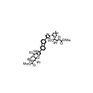 CC[C@@H](c1ncc(-c2ccc3c(c2)-c2ccc(-c4cnc([C@@H]5CC(C)(C)CN5C(=O)[C@@H](NC(=O)OC)C(C)C)[nH]4)cc2-3)[nH]1)N(CC(C)C)C(=O)[C@@H](NC(=O)OC)C(C)C